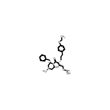 CCOc1ccc(CCC[C@@H](C(=O)N2CCN(C)C[C@@H]2Cc2ccccc2)[C@H](O)CONO)cc1